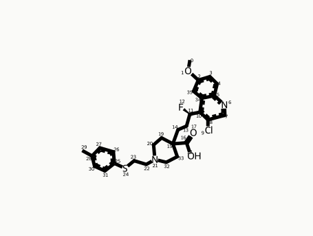 COc1ccc2ncc(Cl)c([C@H](F)CCC3(C(=O)O)CCN(CCSc4ccc(C)cc4)CC3)c2c1